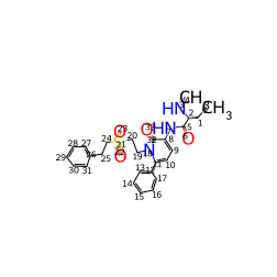 CC[C@H](NC)C(=O)Nc1ccc(-c2ccccc2)n(CCS(=O)(=O)CCc2ccccc2)c1=O